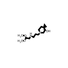 COC(CNCCCN1CCC2(CC2)[C@H](O)C1)OC